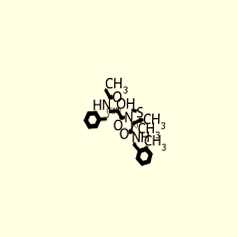 CCC(=O)N[C@@H](Cc1ccccc1)[C@H](O)C(=O)N1CSC(C)(C)[C@H]1C(=O)NCc1ccccc1C